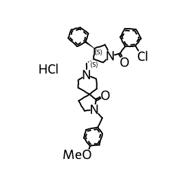 COc1ccc(CN2CCC3(CCN(C[C@H]4CN(C(=O)c5ccccc5Cl)C[C@@H]4c4ccccc4)CC3)C2=O)cc1.Cl